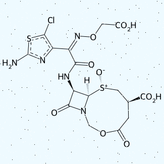 Nc1nc(/C(=N/OCC(=O)O)C(=O)N[C@@H]2C(=O)N3COC(=O)C[C@H](C(=O)O)C[S@@+]([O-])[C@H]23)c(Cl)s1